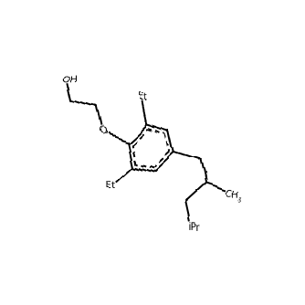 CCc1cc(CC(C)CC(C)C)cc(CC)c1OCCO